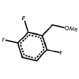 COCc1c(F)ccc(F)c1F